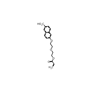 C=CC(=O)OCCOCCOc1ccc2cc(C(=O)O)ccc2c1